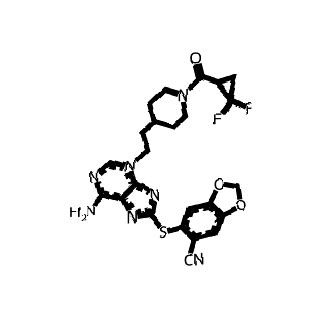 N#Cc1cc2c(cc1Sc1nc3c(N)ncn(CCC4CCN(C(=O)C5CC5(F)F)CC4)c-3n1)OCO2